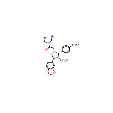 COc1ccc([C@@H]2[C@@H](C(=O)O)C(c3ccc4c(c3)OCO4)CN2CC(=O)N(CC(C)C)CC(C)C)cc1